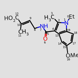 CCn1c(C)c(C(=O)NCC=C(C)C(=O)O)c2cc(OC)ccc21